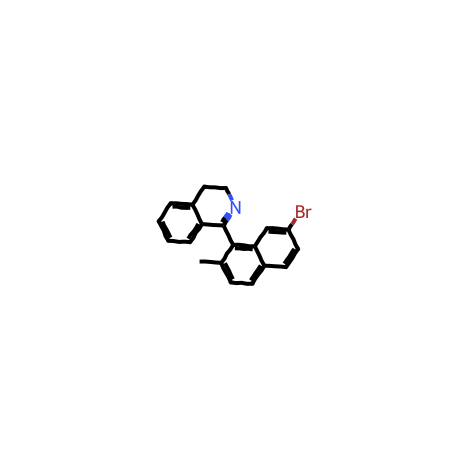 Cc1ccc2ccc(Br)cc2c1C1=NCCc2ccccc21